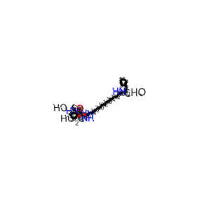 O=CC(Cc1ccccc1)NCCCCCCCCCCCCCCCCCC(NC(=O)O)N[C@@H](Cc1ccccc1)C(=O)NC(=O)O